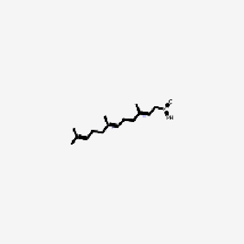 CC(C)=CCC/C(C)=C/CC/C(C)=C/CP(=O)=P